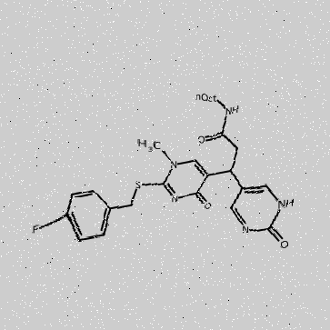 CCCCCCCCNC(=O)CC(c1cnc(=O)[nH]c1)c1cn(C)c(SCc2ccc(F)cc2)nc1=O